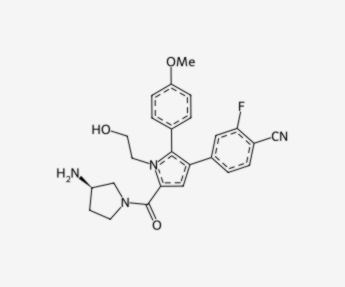 COc1ccc(-c2c(-c3ccc(C#N)c(F)c3)cc(C(=O)N3CC[C@@H](N)C3)n2CCO)cc1